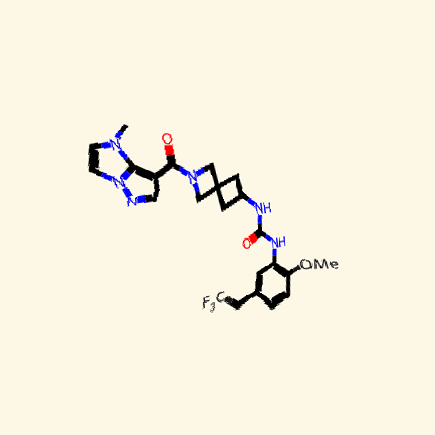 COc1ccc(CC(F)(F)F)cc1NC(=O)NC1CC2(C1)CN(C(=O)c1cnn3ccn(C)c13)C2